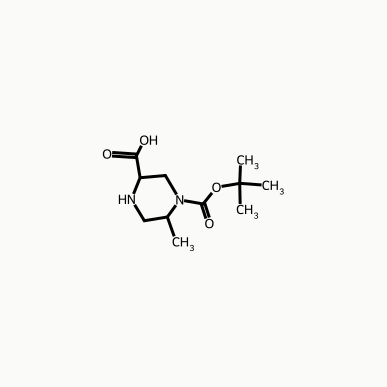 CC1CNC(C(=O)O)CN1C(=O)OC(C)(C)C